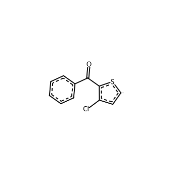 O=C(c1ccccc1)c1s[c]cc1Cl